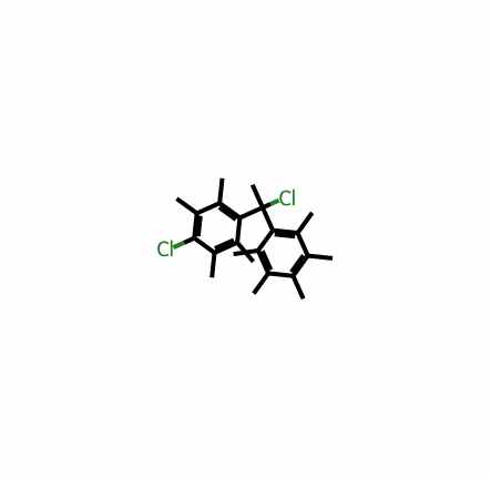 Cc1c(C)c(C)c(C(C)(Cl)c2c(C)c(C)c(Cl)c(C)c2C)c(C)c1C